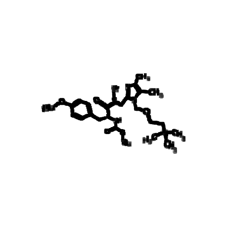 Cc1nc(CN(C(=O)[C@H](Cc2ccc(OC(C)(C)C)cc2)NC(=O)OC(C)(C)C)C(C)C)n(COCC[Si](C)(C)C)c1C